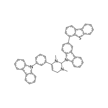 CN1CC=C(c2cccc(-n3c4ccccc4c4ccccc43)c2)N(C)C1n1c2ccccc2c2cc(-c3cccc4c3sc3ccccc34)ccc21